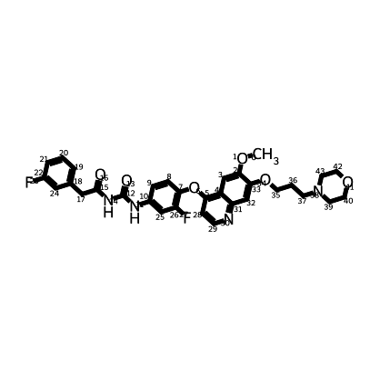 COc1cc2c(Oc3ccc(NC(=O)NC(=O)Cc4cccc(F)c4)cc3F)ccnc2cc1OCCCN1CCOCC1